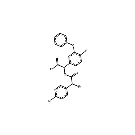 C=C(Cl)C(OC(=O)C(c1ccc(Cl)cc1)C(C)C)c1ccc(F)c(Oc2ccccc2)c1